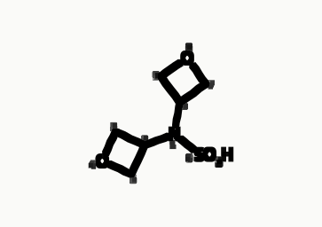 O=S(=O)(O)N(C1COC1)C1COC1